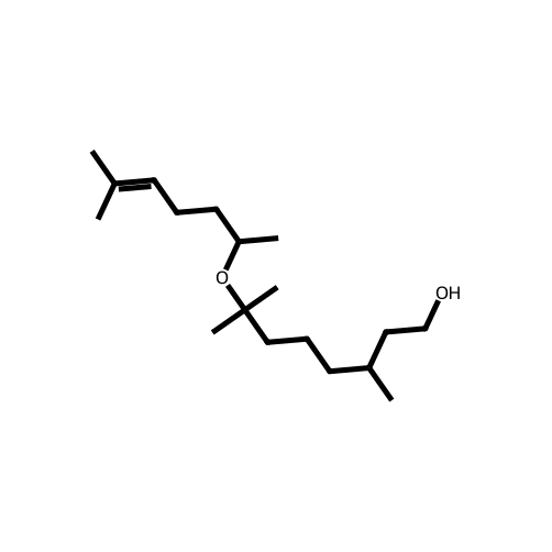 CC(C)=CCCC(C)OC(C)(C)CCCC(C)CCO